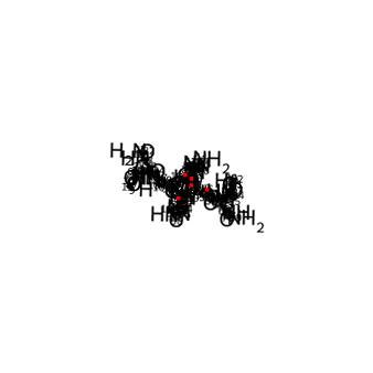 CC(C)[C@H](NC(=O)OC(C)(C)C)C(=O)N[C@@H](CCCNC(N)=O)C(=O)Nc1ccc(CSP2(=O)OC[C@H]3O[C@@H](n4cnc5c(N)ncnc54)[C@H](F)[C@@H]3P(=O)(SCc3ccc(NC(=O)[C@H](CCCNC(N)=O)NC(=O)[C@@H](NC(=O)OC(C)(C)C)C(C)C)cc3)OC[C@H]3O[C@@H](n4cnc5c(=O)[nH]cnc54)C[C@@H]3O2)cc1